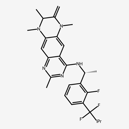 C=C1C(C)N(C)c2cc3nc(C)nc(N[C@H](C)c4cccc(C(F)(F)C(C)C)c4F)c3cc2N1C